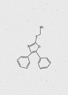 CC(C)CSc1nc(-c2ccccc2)c(-c2ccccc2)o1